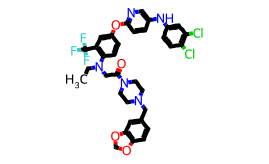 CCN(CC(=O)N1CCN(Cc2ccc3c(c2)OCO3)CC1)c1ccc(Oc2ccc(Nc3ccc(Cl)c(Cl)c3)cn2)cc1C(F)(F)F